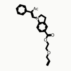 C=CCOCCOC(=O)c1ccc2c(c1)CCN2/C=C(\C(C)=O)c1ccccc1